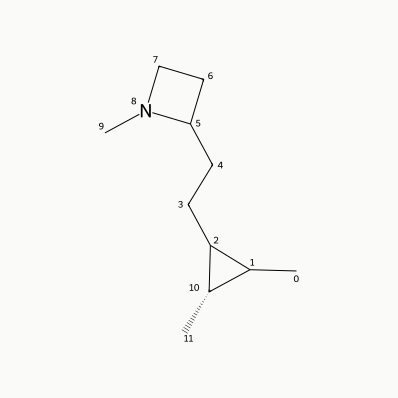 CC1C(CCC2CCN2C)[C@H]1C